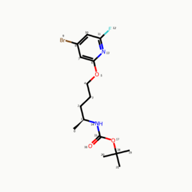 C[C@@H](CCCOc1cc(Br)cc(F)n1)NC(=O)OC(C)(C)C